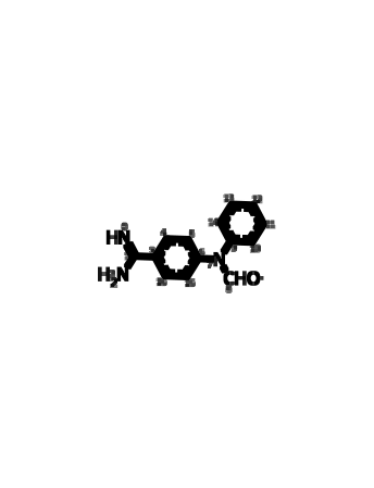 N=C(N)c1ccc(N([C]=O)c2ccccc2)cc1